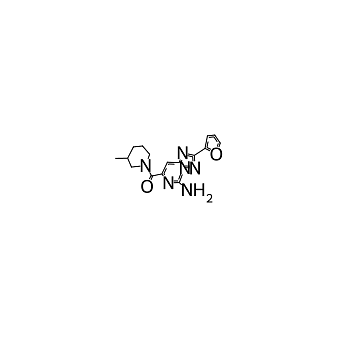 CC1CCCN(C(=O)c2cc3nc(-c4ccco4)nn3c(N)n2)C1